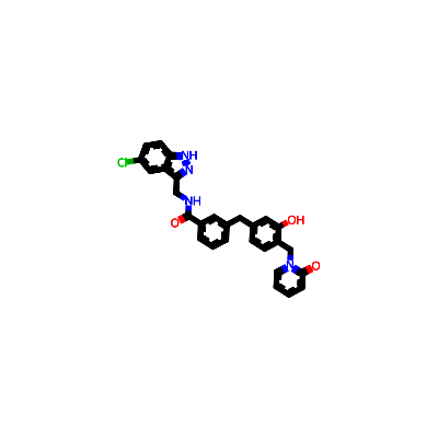 O=C(NCc1n[nH]c2ccc(Cl)cc12)c1cccc(Cc2ccc(Cn3ccccc3=O)c(O)c2)c1